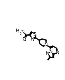 Cc1cc2nccc(N3CCC(c4nc(C(N)=O)cs4)CC3)n2n1